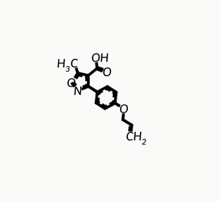 C=CCOc1ccc(-c2noc(C)c2C(=O)O)cc1